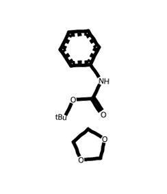 C1COCO1.CC(C)(C)OC(=O)Nc1ccccc1